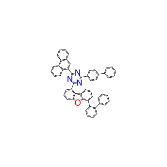 c1ccc(-c2ccc(-c3nc(-c4cc5ccccc5c5ccccc45)nc(-c4cccc5oc6c(-c7ccccc7-c7ccccc7)cccc6c45)n3)cc2)cc1